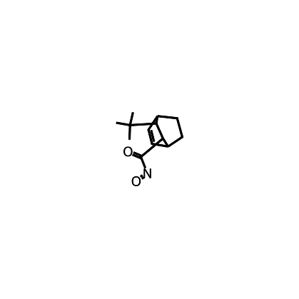 CC(C)(C)C1C2C=CC(CC2)C1C(=O)N=O